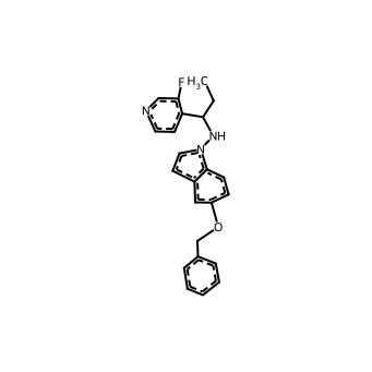 CCC(Nn1ccc2cc(OCc3ccccc3)ccc21)c1ccncc1F